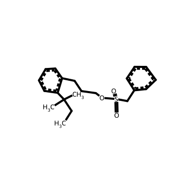 CCC(C)(C)c1ccccc1CCCOS(=O)(=O)Cc1ccccc1